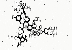 CC(C)(C#Cc1ccc(-c2ccc(Cl)c3c(N(C(=O)OC(CC(=O)O)CC(=O)O)S(C)(=O)=O)nn(CC(F)(F)F)c23)c([C@H](Cc2cc(F)cc(F)c2)NC(=O)Cn2nc(C(F)(F)F)c3c2C(F)(F)C[C@@H]3N)n1)S(C)(=O)=O